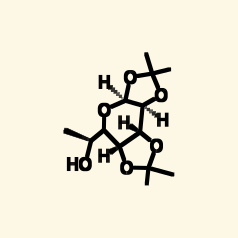 C[C@H](O)C1O[C@H]2OC(C)(C)O[C@H]2[C@@H]2OC(C)(C)O[C@H]12